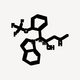 CNC[C@H](O)[C@@H](c1ccccc1OC(F)(F)F)n1ccc2ccccc21